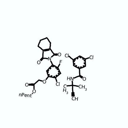 C#CC(C)(C)NC(=O)c1cc(Cl)cc(Cl)c1.CCCCCOC(=O)COc1cc(N2C(=O)C3=C(CCCC3)C2=O)c(F)cc1Cl